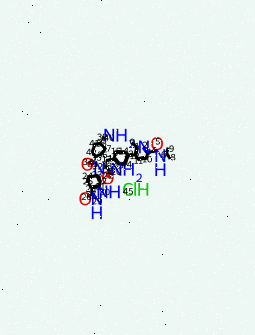 Cc1nc(C(=O)NC(C)C)ccc1-c1ccc(C[C@@H](C(N)=O)N(c2ccc3c(=O)[nH][nH]c3c2)C(=O)[C@H]2CC[C@H](CN)CC2)cc1.Cl